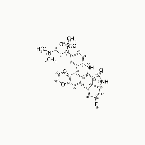 CN(C)CCN(c1ccc(N/C(=C2\C(=O)Nc3cc(F)ccc32)c2ccc3c(c2)OC=CO3)cc1)S(C)(=O)=O